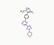 C=C(c1ccc(-c2cncc(-c3nnc(N4CCOCC4)o3)n2)cc1)N(C)C